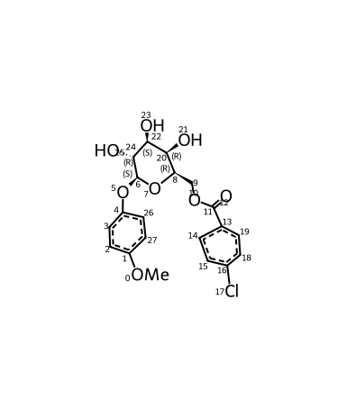 COc1ccc(O[C@@H]2O[C@H](COC(=O)c3ccc(Cl)cc3)[C@H](O)[C@H](O)[C@H]2O)cc1